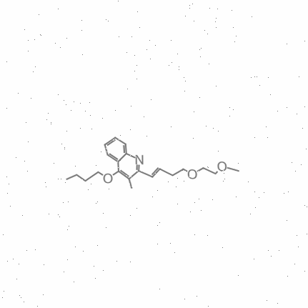 CCCCOc1c(C)c(C=CCCOCCOC)nc2ccccc12